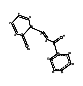 O=C(C=CC1C=CC=CC1=O)c1ccccc1